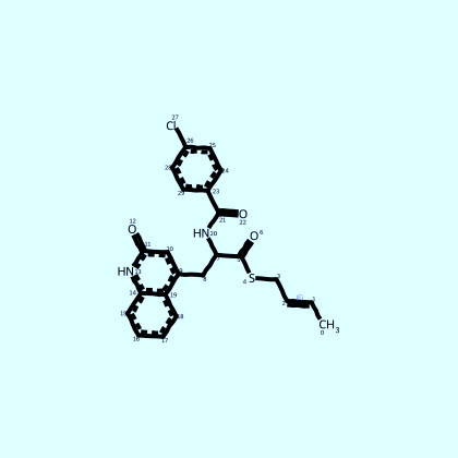 C/C=C/CSC(=O)C(Cc1cc(=O)[nH]c2ccccc12)NC(=O)c1ccc(Cl)cc1